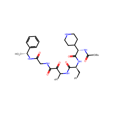 CCCC(NC(=O)[C@H](CC(C)C)NC(=O)[C@@H](NC(=O)OCC(C)C)C1CCNCC1)C(=O)C(=O)NCC(=O)N[C@H](C(=O)O)c1ccccc1